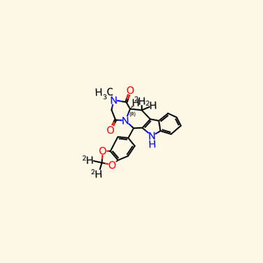 [2H]C1([2H])Oc2ccc(C3c4[nH]c5ccccc5c4C([2H])([2H])[C@@H]4C(=O)N(C)CC(=O)N34)cc2O1